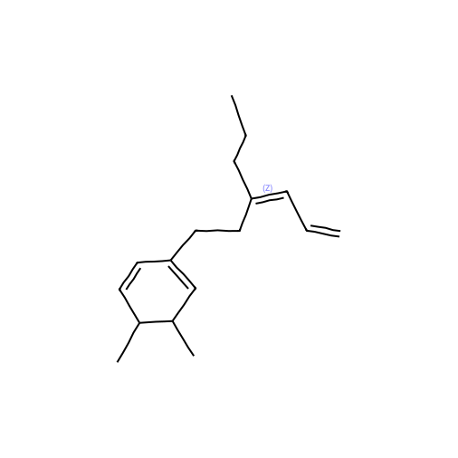 C=C/C=C(/CCC)CCC1=CC(C)C(C)C=C1